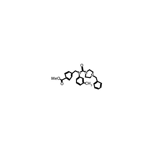 COC(=O)c1ccc(CN(C(=O)N2CCN(Cc3ccccc3)CC2)c2cccc(C)c2)cc1